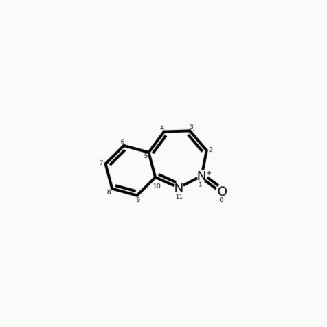 O=[n+]1c[c]cc2ccccc2n1